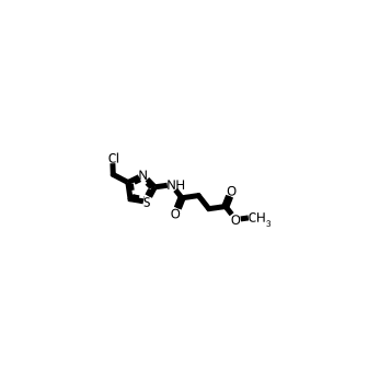 COC(=O)CCC(=O)Nc1nc(CCl)cs1